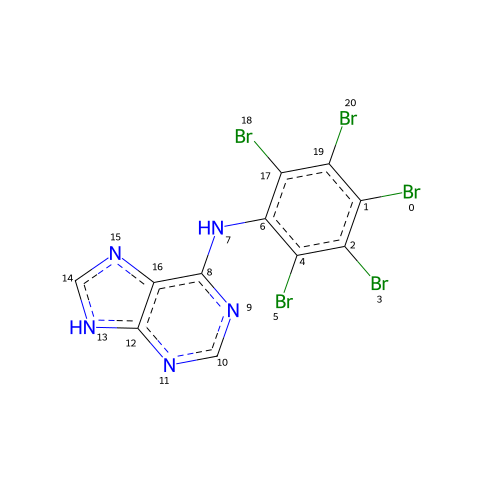 Brc1c(Br)c(Br)c(Nc2ncnc3[nH]cnc23)c(Br)c1Br